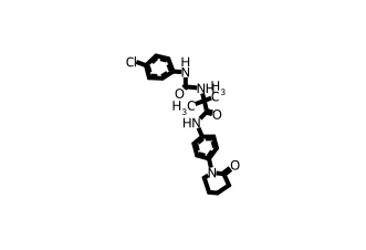 CC(C)(NC(=O)Nc1ccc(Cl)cc1)C(=O)Nc1ccc(N2CCCCC2=O)cc1